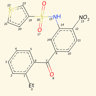 CCc1ccccc1C(=O)c1ccc([N+](=O)[O-])c(NS(=O)(=O)c2ccsc2)c1